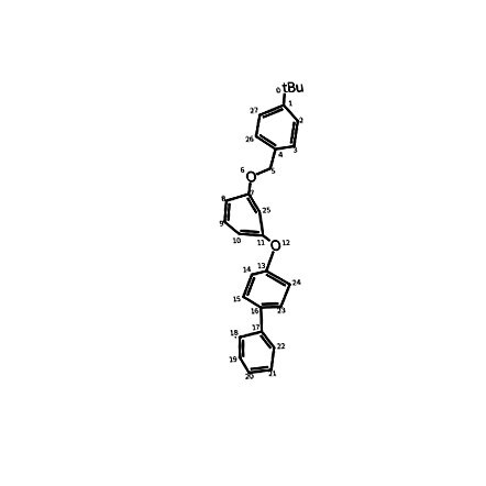 CC(C)(C)c1ccc(COc2cccc(Oc3ccc(-c4[c]cccc4)cc3)c2)cc1